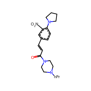 CCCN1CCN(C(=O)C=Cc2ccc(N3CCCC3)c([N+](=O)[O-])c2)CC1